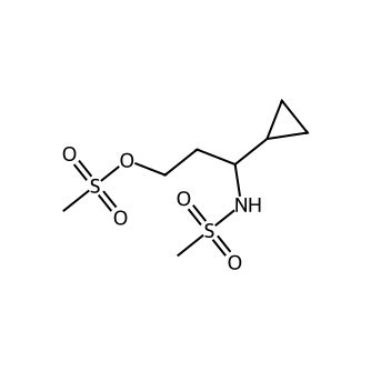 CS(=O)(=O)NC(CCOS(C)(=O)=O)C1CC1